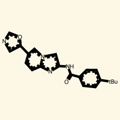 CC(C)(C)c1ccc(C(=O)Nc2cn3cc(-c4cnco4)ccc3n2)cc1